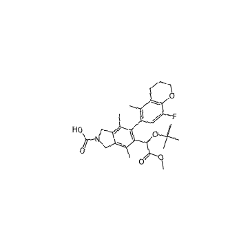 COC(=O)C(OC(C)(C)C)c1c(C)c2c(c(C)c1-c1cc(F)c3c(c1C)CCCO3)CN(C(=O)O)C2